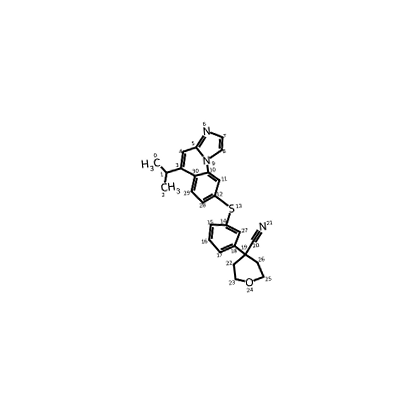 CC(C)c1cc2nccn2c2cc(Sc3cccc(C4(C#N)CCOCC4)c3)ccc12